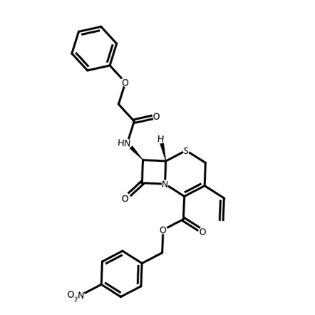 C=CC1=C(C(=O)OCc2ccc([N+](=O)[O-])cc2)N2C(=O)[C@@H](NC(=O)COc3ccccc3)[C@@H]2SC1